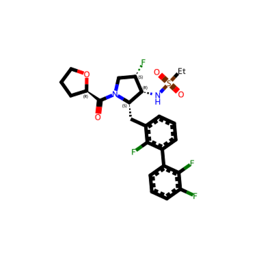 CCS(=O)(=O)N[C@H]1[C@@H](F)CN(C(=O)[C@H]2CCCO2)[C@H]1Cc1cccc(-c2cccc(F)c2F)c1F